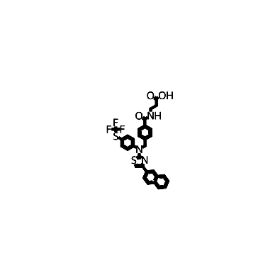 O=C(O)CCNC(=O)c1ccc(CN(c2ccc(SC(F)(F)F)cc2)c2nc(-c3ccc4ccccc4c3)cs2)cc1